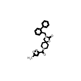 Cc1cc(C(=O)N2CCC3(CC2)CN(Cc2ccccc2-c2ccccc2)C(=O)O3)no1